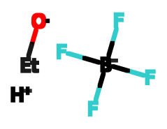 CC[O].F[B-](F)(F)F.[H+]